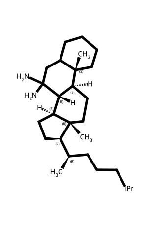 CC(C)CCC[C@@H](C)[C@H]1CC[C@H]2[C@H]3[C@H](CC[C@]12C)[C@@]1(C)CCCCC1CC3(N)N